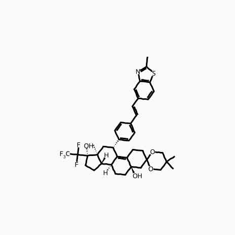 Cc1nc2cc(/C=C/c3ccc([C@H]4C[C@@]5(C)[C@@H](CC[C@@]5(O)C(F)(F)C(F)(F)F)[C@@H]5CC[C@@]6(O)CC7(CCC6=C54)OCC(C)(C)CO7)cc3)ccc2s1